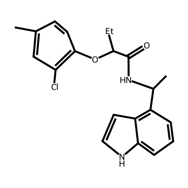 CCC(Oc1ccc(C)cc1Cl)C(=O)NC(C)c1cccc2[nH]ccc12